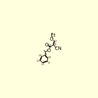 CCO/C=C(/C#N)C(=O)OCc1ccccc1